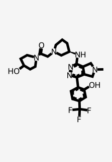 CN1Cc2c(N[C@@H]3CCCN(CC(=O)N4CCC(O)CC4)C3)nnc(-c3ccc(C(F)(F)F)cc3O)c2C1